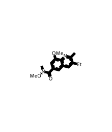 CCc1cc2cc(C(=O)N(C)OC)cc(OC)c2nc1C